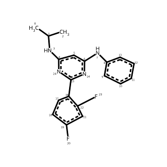 CC(C)Nc1cc(Nc2ccccc2)nc(-c2ccc(F)cc2F)n1